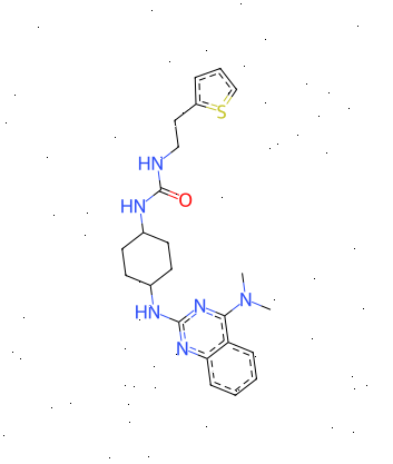 CN(C)c1nc(NC2CCC(NC(=O)NCCc3cccs3)CC2)nc2ccccc12